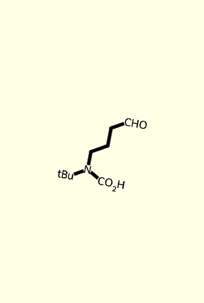 CC(C)(C)N(CCCC=O)C(=O)O